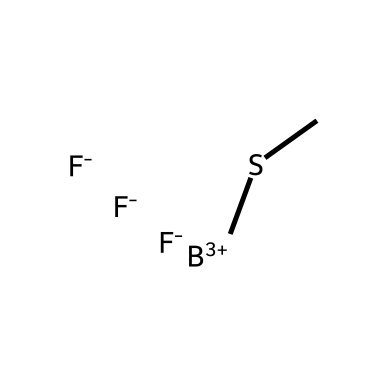 CSC.[B+3].[F-].[F-].[F-]